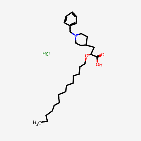 CCCCCCCCCCCCCCOC(CC1CCN(Cc2ccccc2)CC1)C(=O)O.Cl